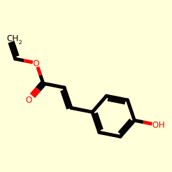 C=COC(=O)/C=C/c1ccc(O)cc1